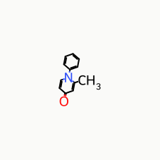 Cc1cc(=O)ccn1-c1ccccc1